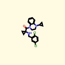 O=C(N1CCN(C2CC2)c2ccccc21)C1(NCc2cc(Cl)ccc2Cl)CC1